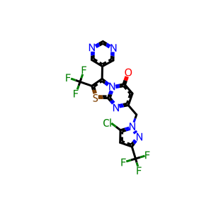 O=c1cc(Cn2nc(C(F)(F)F)cc2Cl)nc2sc(C(F)(F)F)c(-c3cncnc3)n12